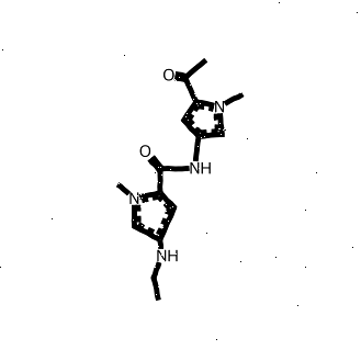 CCNc1cc(C(=O)Nc2cc(C(C)=O)n(C)c2)n(C)c1